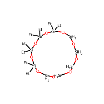 CC[Si]1(CC)O[SiH2]O[SiH2]O[SiH2]O[SiH2]O[SiH2]O[Si](CC)(CC)O[Si](CC)(CC)O[Si](CC)(CC)O1